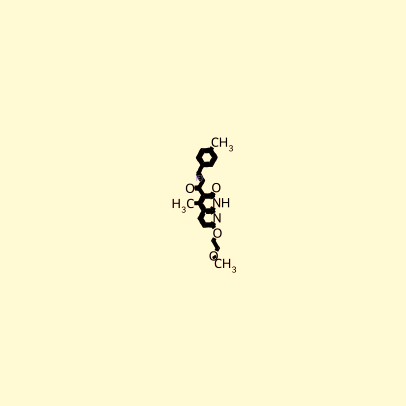 COCCOc1ccc2c(C)c(C(=O)/C=C/c3ccc(C)cc3)c(=O)[nH]c2n1